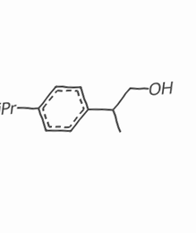 CC(C)c1ccc(C(C)CO)cc1